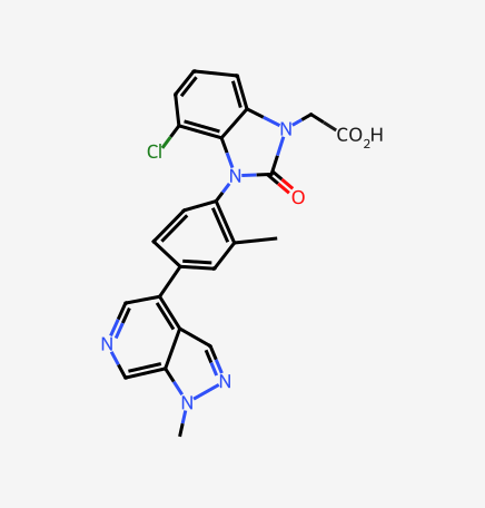 Cc1cc(-c2cncc3c2cnn3C)ccc1-n1c(=O)n(CC(=O)O)c2cccc(Cl)c21